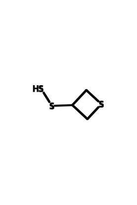 SSC1CSC1